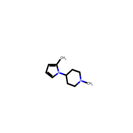 Cc1cccn1C1CCN(C)CC1